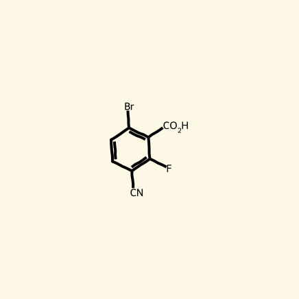 N#Cc1ccc(Br)c(C(=O)O)c1F